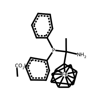 CC(=O)O.CC(N)(P(c1ccccc1)c1ccccc1)[C]12[CH]3[CH]4[CH]5[CH]1[Fe]45321678[CH]2[CH]1[CH]6[CH]7[CH]28